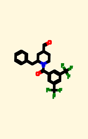 O=CC1CCN(C(=O)c2cc(C(F)(F)F)cc(C(F)(F)F)c2)C(Cc2ccccc2)C1